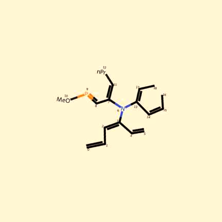 C=C/C=C(\C=C)N(/C(C=POC)=C/CCC)C(/C=C\C)=C/C